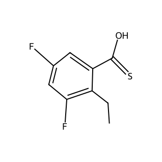 CCc1c(F)cc(F)cc1C(O)=S